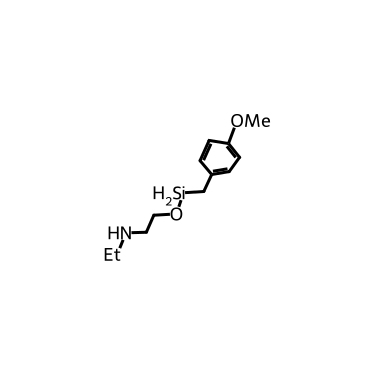 CCNCCO[SiH2]Cc1ccc(OC)cc1